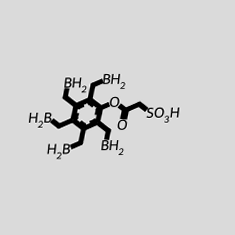 BCc1c(CB)c(CB)c(OC(=O)CS(=O)(=O)O)c(CB)c1CB